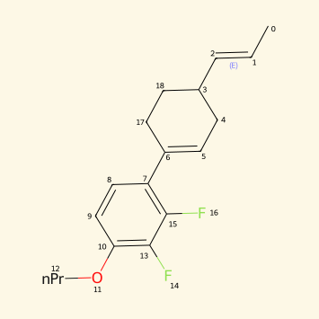 C/C=C/C1CC=C(c2ccc(OCCC)c(F)c2F)CC1